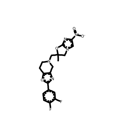 CC1(CN2CCc3oc(-c4ccc(F)c(F)c4)nc3C2)Cn2cc([N+](=O)[O-])nc2O1